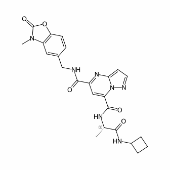 C[C@H](NC(=O)c1cc(C(=O)NCc2ccc3oc(=O)n(C)c3c2)nc2ccnn12)C(=O)NC1CCC1